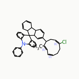 C/C1=C\C=C/CC/C(Cl)=C\CC1C1=CC2C(C=C1)C1C=CC=CC1C21c2ccccc2N(c2ccccc2)c2ccccc21